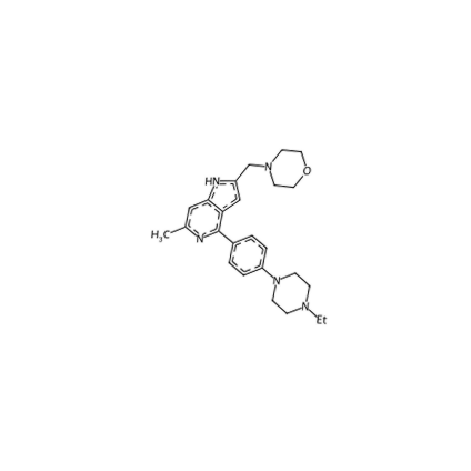 CCN1CCN(c2ccc(-c3nc(C)cc4[nH]c(CN5CCOCC5)cc34)cc2)CC1